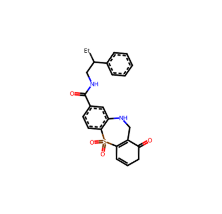 CCC(CNC(=O)c1ccc2c(c1)NCC1=C(C=CCC1=O)S2(=O)=O)c1ccccc1